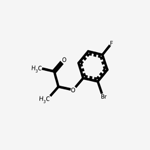 CC(=O)C(C)Oc1ccc(F)cc1Br